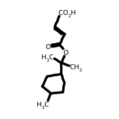 CC1CCC(C(C)(C)OC(=O)/C=C/C(=O)O)CC1